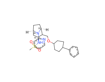 CS(=O)(=O)N[C@H]1C[C@H]2CC[C@@H](C1COC1CCC(c3ccccc3)CC1)N2c1ccccn1